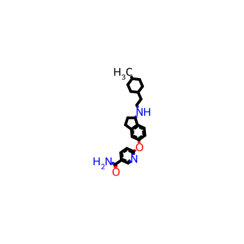 CC1CCC(CCNC2CCc3cc(Oc4ccc(C(N)=O)cn4)ccc32)CC1